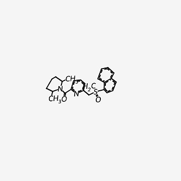 C=S(=O)(Cc1cccc(C(=O)N2C(C)CCCC2C)n1)c1cccc2ccccc12